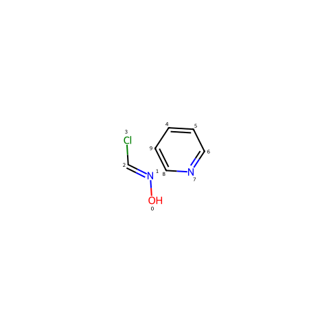 ON=CCl.c1ccncc1